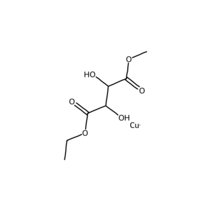 CCOC(=O)C(O)C(O)C(=O)OC.[Cu]